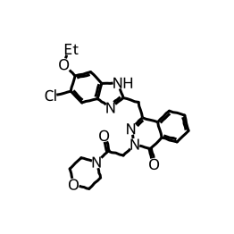 CCOc1cc2[nH]c(Cc3nn(CC(=O)N4CCOCC4)c(=O)c4ccccc34)nc2cc1Cl